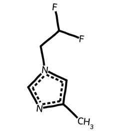 Cc1cn(CC(F)F)cn1